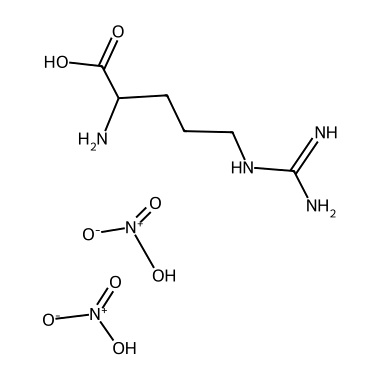 N=C(N)NCCCC(N)C(=O)O.O=[N+]([O-])O.O=[N+]([O-])O